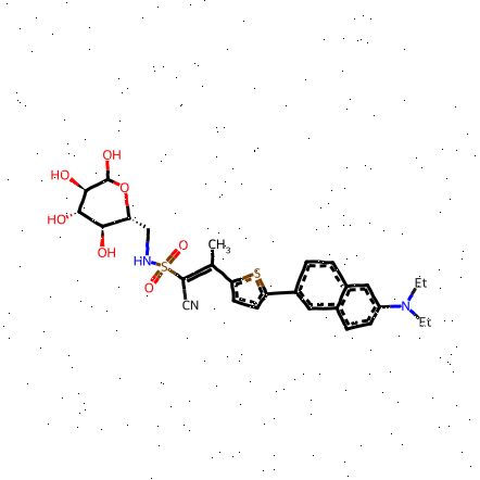 CCN(CC)c1ccc2cc(-c3ccc(/C(C)=C(\C#N)S(=O)(=O)NC[C@H]4OC(O)[C@H](O)[C@@H](O)[C@@H]4O)s3)ccc2c1